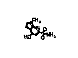 Cn1ccc2c(O)cc(S(N)(=O)=O)nc21